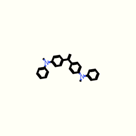 C=C(c1ccc(N(C)c2ccccc2)cc1)c1ccc(N(C)c2ccccc2)cc1